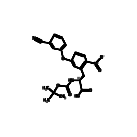 CC(C)(C)OC(=O)N[C@@H](Cc1cc(Oc2cccc(C#N)c2)ccc1[N+](=O)[O-])C(=O)O